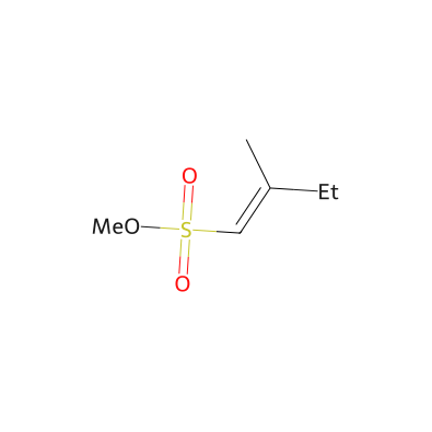 CCC(C)=CS(=O)(=O)OC